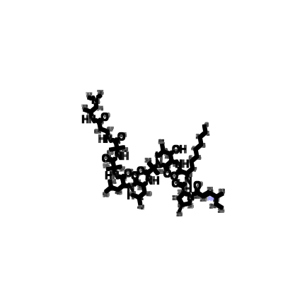 CCCCCCCCC(NC(=O)[C@@H]1C[C@H](C)CN1C(=O)/C=C/C(C)CC)C(=O)NC(C(=O)NC(C)(C)C(=O)NC(CC(C)C)C(=O)NC(CC(C)C)C(=O)NC(C)(C)C(=O)NC(C)(C)C(=O)NCCC(=O)NC(C)CN(C)C)C(O)C(C)C